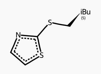 CC[C@H](C)CSc1nccs1